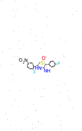 N=C1NC(c2cc([N+](=O)[O-])ccc2F)C[S+]([O-])C1c1ccc(F)cc1